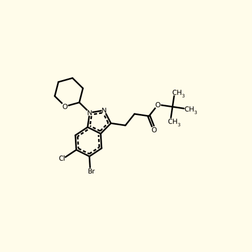 CC(C)(C)OC(=O)CCc1nn(C2CCCCO2)c2cc(Cl)c(Br)cc12